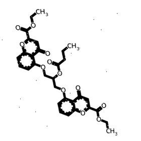 CCCC(=O)OC(COc1cccc2oc(C(=O)OCC)cc(=O)c12)COc1cccc2oc(C(=O)OCC)cc(=O)c12